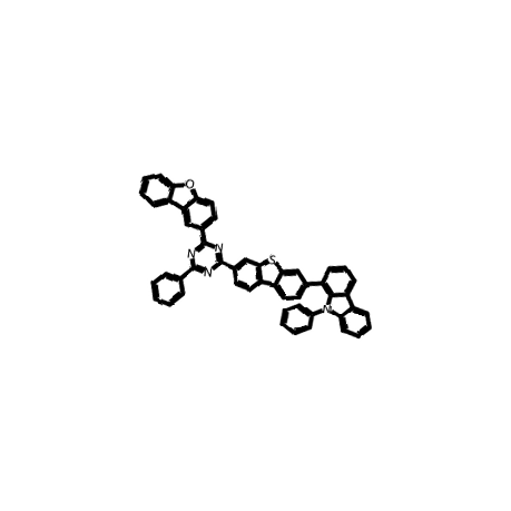 c1ccc(-c2nc(-c3ccc4c(c3)sc3cc(-c5cccc6c7ccccc7n(-c7ccccc7)c56)ccc34)nc(-c3ccc4oc5ccccc5c4c3)n2)cc1